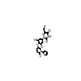 O=c1[nH]c(=O)n(-c2cc(Cl)c(Oc3ccc(=O)n(-c4cccs4)c3)c(Cl)c2)nc1CF